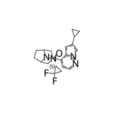 O=C([C@@H]1CC1(F)F)N1C2CCC1CN(c1ccnn3cc(C4CC4)cc13)C2